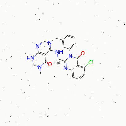 Cc1cccc(-n2c([C@H](C)Nc3ncnc4c3C(=O)N(C)CN4)nc3cccc(Cl)c3c2=O)c1